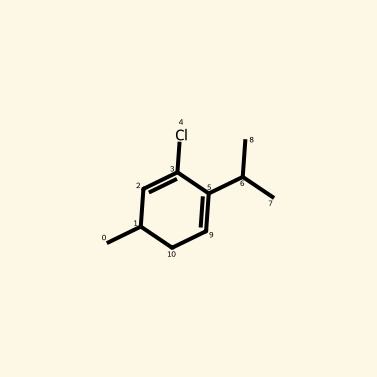 CC1C=C(Cl)C(C(C)C)=CC1